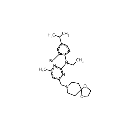 CCN(c1nc(C)cc(CN2CCC3(CC2)OCCO3)n1)c1ccc(C(C)C)cc1Br